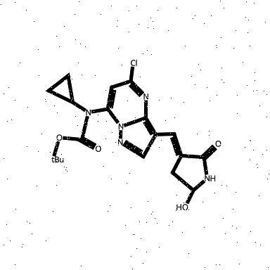 CC(C)(C)OC(=O)N(c1cc(Cl)nc2c(/C=C3\CC(O)NC3=O)cnn12)C1CC1